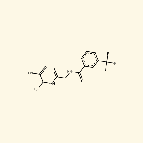 CC(NC(=O)CNC(=O)c1cccc(C(F)(F)F)c1)C(N)=O